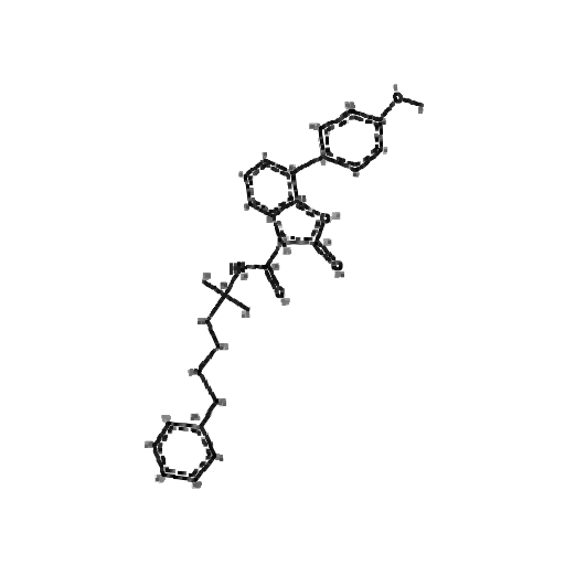 COc1ccc(-c2cccc3c2oc(=O)n3C(=O)NC(C)(C)CCCCc2ccccc2)cc1